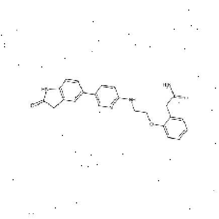 NC(=O)Cc1ccccc1OCCNc1ccc(-c2ccc3c(c2)CC(=O)N3)cn1